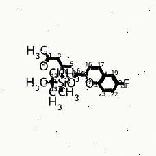 CC(=O)CCC[C@@H](O[Si](C)(C)C(C)(C)C)[C@H]1C=Cc2cc(F)ccc2O1